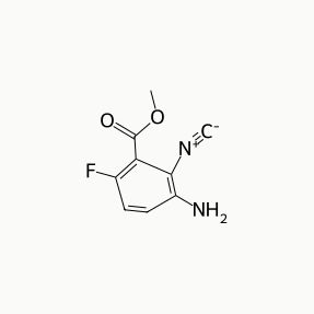 [C-]#[N+]c1c(N)ccc(F)c1C(=O)OC